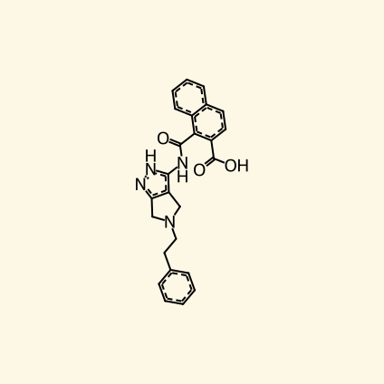 O=C(O)c1ccc2ccccc2c1C(=O)Nc1[nH]nc2c1CN(CCc1ccccc1)C2